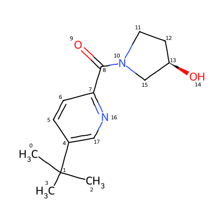 CC(C)(C)c1ccc(C(=O)N2CC[C@@H](O)C2)nc1